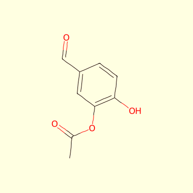 CC(=O)Oc1cc(C=O)ccc1O